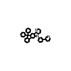 C1=CC2C(N=C1)c1cc3c(cc1N2c1cccc(-c2cccnc2)c1)-c1ccccc1C3(c1ccccc1)c1ccccc1